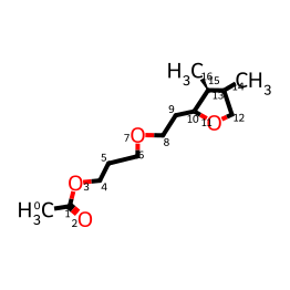 CC(=O)OCCCOCCC1OCC(C)[C@@H]1C